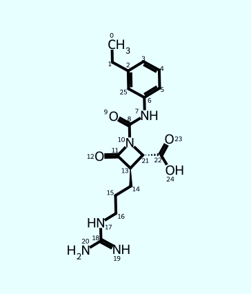 CCc1cccc(NC(=O)N2C(=O)[C@H](CCCNC(=N)N)[C@H]2C(=O)O)c1